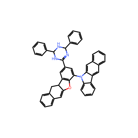 C1=C2Oc3c(cc(C4=NC(c5ccccc5)NC(c5ccccc5)N4)cc3-n3c4ccccc4c4cc5ccccc5cc43)C2Cc2ccccc21